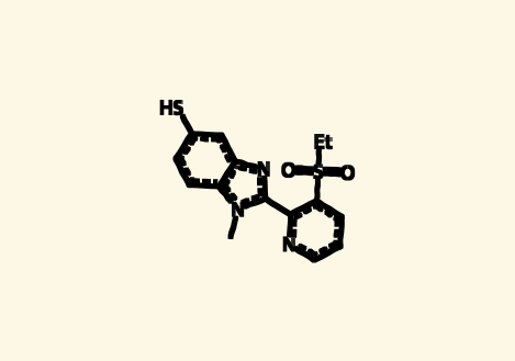 CCS(=O)(=O)c1cccnc1-c1nc2cc(S)ccc2n1C